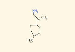 CC1CCC([C@@H](C)CN)CC1